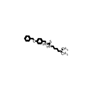 CN(C)CCCCNC(=S)NCc1ccc(OCc2ccccc2)cc1